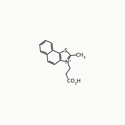 Cc1sc2c3ccccc3ccc2[n+]1CCC(=O)O